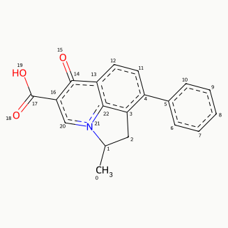 CC1Cc2c(-c3ccccc3)ccc3c(=O)c(C(=O)O)cn1c23